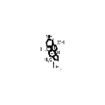 CC[C@H]1CC[C@H]2[C@@H]3C[C@@H](O)C4C[C@H](N)CC[C@]4(C)[C@H]3CC[C@]12C